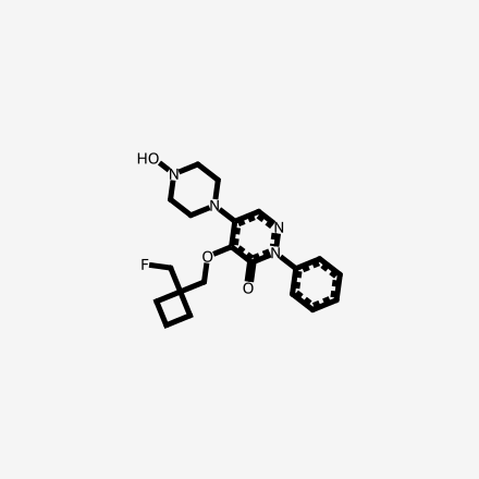 O=c1c(OCC2(CF)CCC2)c(N2CCN(O)CC2)cnn1-c1ccccc1